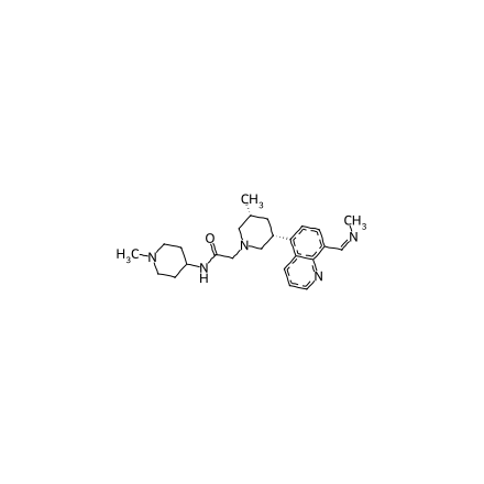 C/N=C\c1ccc([C@H]2C[C@@H](C)CN(CC(=O)NC3CCN(C)CC3)C2)c2cccnc12